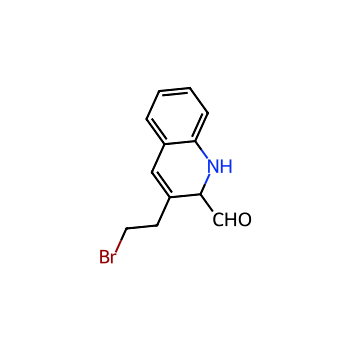 O=CC1Nc2ccccc2C=C1CCBr